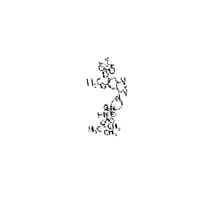 COc1cc2c(N3CCCN(S(=O)(=O)NC(=O)OC(C)(C)C)CC3)ncnc2cc1OS(=O)(=O)C(F)(F)F